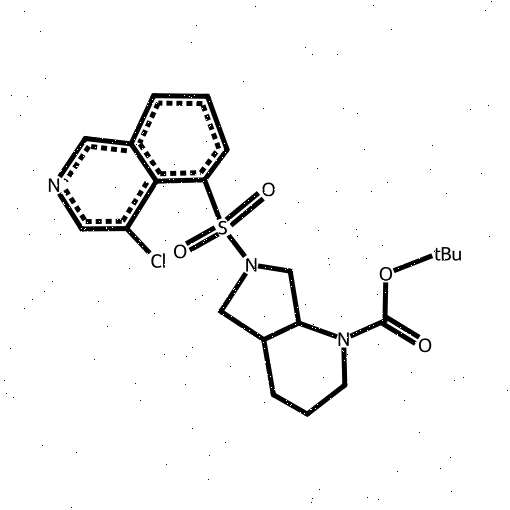 CC(C)(C)OC(=O)N1CCCC2CN(S(=O)(=O)c3cccc4cncc(Cl)c34)CC21